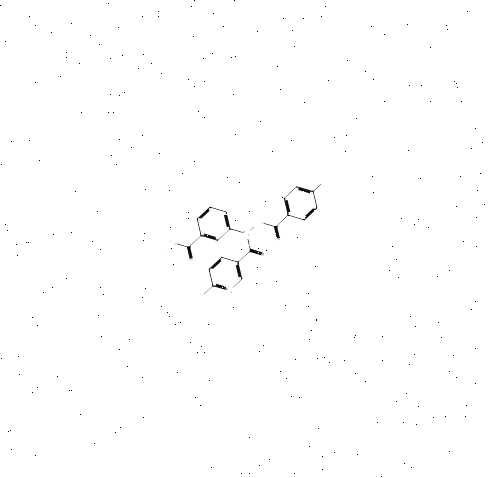 NC(=O)c1cccc(N(OC(=O)c2ccc(Cl)cc2)C(=O)c2ccc(F)nc2)c1